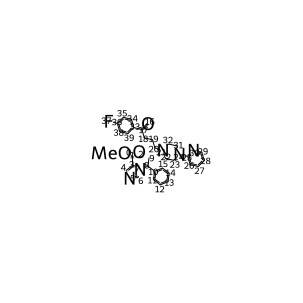 COC(=O)c1cncn1C(C)c1ccccc1.O=C(CCCN1CCN(c2ccccn2)CC1)c1ccc(F)cc1